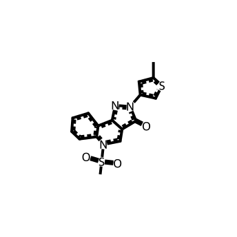 Cc1cc(-n2nc3c4ccccc4n(S(C)(=O)=O)cc-3c2=O)cs1